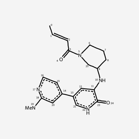 C/C=C/C(=O)N1CCCC(Nc2cc(-c3ccnc(NC)c3)c[nH]c2=O)C1